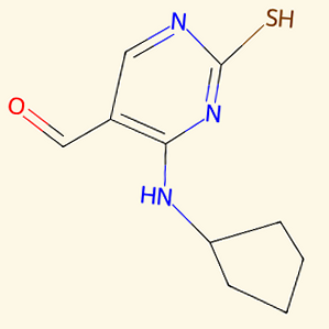 O=Cc1cnc(S)nc1NC1CCCC1